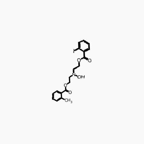 Cc1ccccc1C(=O)OCCN(O)CCOC(=O)c1ccccc1I